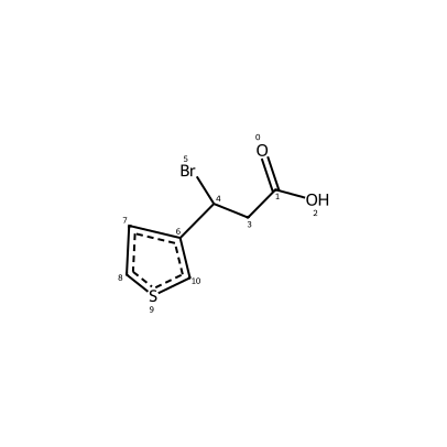 O=C(O)CC(Br)c1ccsc1